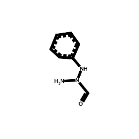 NN(C=O)Nc1ccccc1